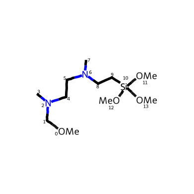 COCN(C)CCN(C)CC[Si](OC)(OC)OC